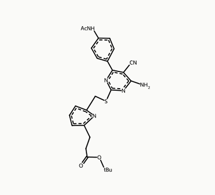 CC(=O)Nc1ccc(-c2nc(SCc3cccc(CCC(=O)OC(C)(C)C)n3)nc(N)c2C#N)cc1